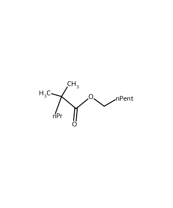 CCCCCCOC(=O)C(C)(C)CCC